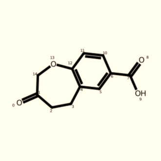 O=C1CCc2cc(C(=O)O)ccc2OC1